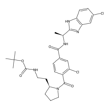 C[C@H](NC(=O)c1ccc(C(=O)N2CCC[C@H]2CCNC(=O)OC(C)(C)C)c(Cl)c1)c1nc2cc(Cl)ccc2[nH]1